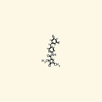 Cn1cc(C(=O)Nc2ccc(Cc3cc(F)cc(F)c3)cn2)n(C)c1=O